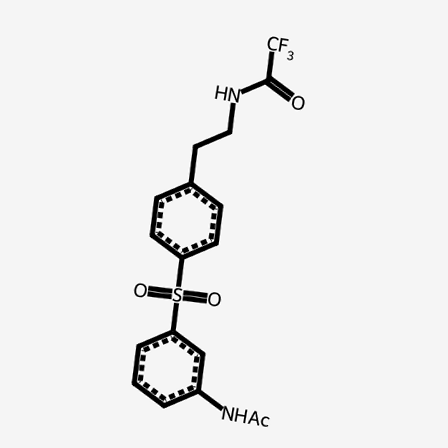 CC(=O)Nc1cccc(S(=O)(=O)c2ccc(CCNC(=O)C(F)(F)F)cc2)c1